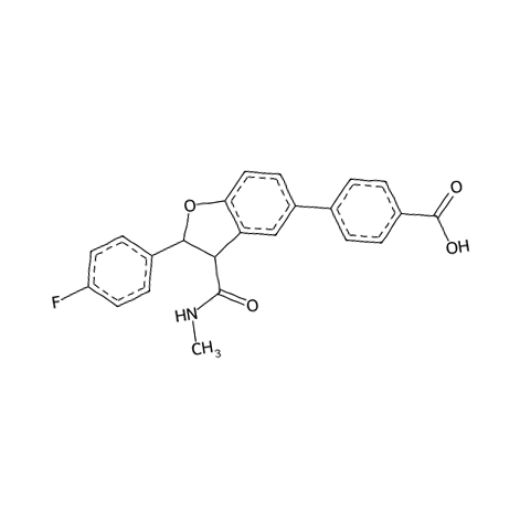 CNC(=O)C1c2cc(-c3ccc(C(=O)O)cc3)ccc2OC1c1ccc(F)cc1